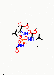 COC(=O)[C@H](CC(C)C)NOP(=O)(ONC=O)ON[C@@H](CC(C)C)C(=O)OC